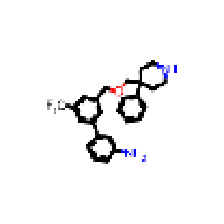 Nc1cccc(-c2cc(COCC3(c4ccccc4)CCNCC3)cc(C(F)(F)F)c2)c1